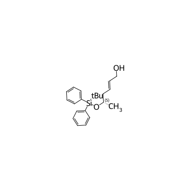 C[C@@H](CC=CCO)O[Si](c1ccccc1)(c1ccccc1)C(C)(C)C